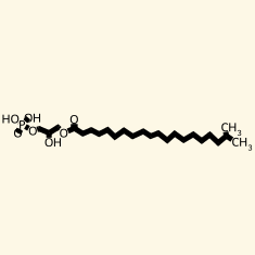 CC(C)CCCCCCCCCCCCCCCCCC(=O)OCC(O)COP(=O)(O)O